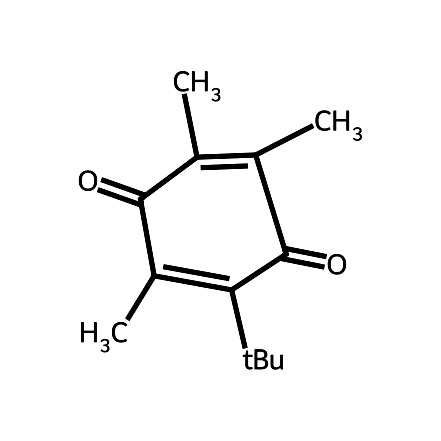 CC1=C(C)C(=O)C(C(C)(C)C)=C(C)C1=O